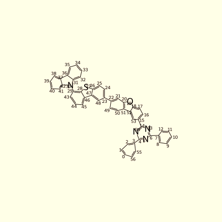 c1ccc(-c2nc(-c3ccccc3)nc(-c3ccc4oc5cc(-c6ccc7sc8c(-n9c%10ccccc%10c%10ccccc%109)cccc8c7c6)ccc5c4c3)n2)cc1